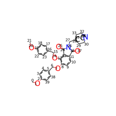 COc1ccc(COc2ccc3c(c2OCc2ccc(OC)cc2)C(=O)N(CC24CCN(CC2)CC4)C3=O)cc1